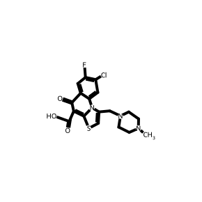 CN1CCN(Cc2csc3c(C(=O)O)c(=O)c4cc(F)c(Cl)cc4n23)CC1